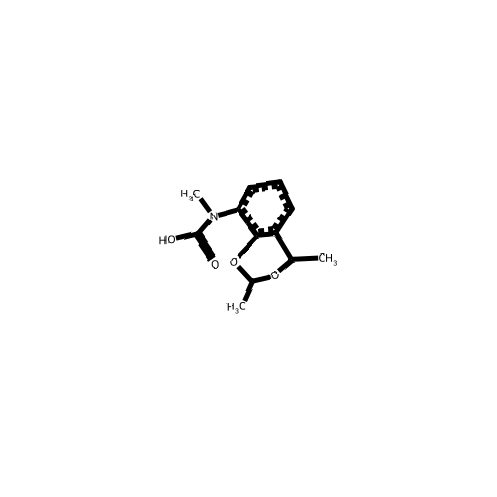 CC1Oc2c(cccc2N(C)C(=O)O)C(C)O1